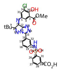 COC(=O)c1cc(N=C2C(C(C)(C)C)=Nn3c2nnc3-c2cccc(NS(=O)(=O)c3cccc(C(=O)O)c3)c2)cc(Cl)c1O